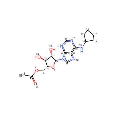 CCCC(=O)OC[C@H]1OC(n2cnc3c(NC4CCCC4)ncnc32)[C@H](O)[C@@H]1O